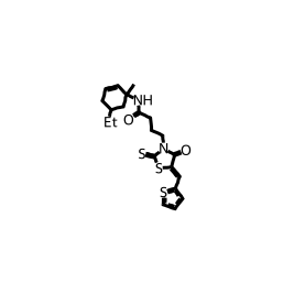 CCC1CC=CC(C)(NC(=O)CCCN2C(=O)/C(=C/c3cccs3)SC2=S)C1